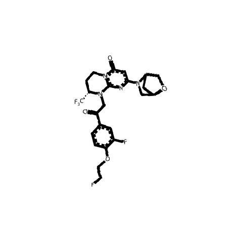 O=C(CN1c2nc(N3CC4CC3CO4)cc(=O)n2CC[C@H]1C(F)(F)F)c1ccc(OCCF)c(F)c1